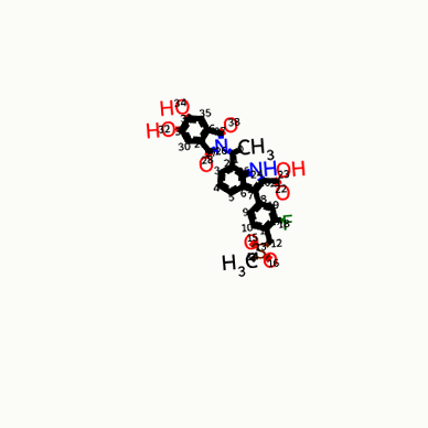 CC(c1cccc2c(-c3ccc(CS(C)(=O)=O)c(F)c3)c(C(=O)O)[nH]c12)N1C(=O)c2cc(O)c(O)cc2C1=O